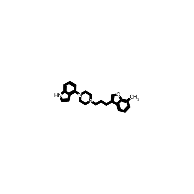 Cc1cccc2c(CCCN3CCN(c4cccc5[nH]ccc45)CC3)coc12